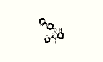 O=C(N[C@H]1CCCN[C@H]1COC1CCN(c2ncccn2)CC1)[C@@H]1CCCO1